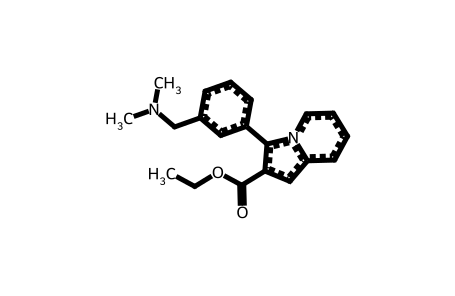 CCOC(=O)c1cc2ccccn2c1-c1cccc(CN(C)C)c1